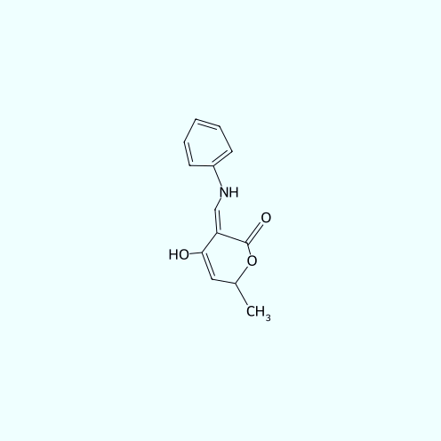 CC1C=C(O)C(=CNc2ccccc2)C(=O)O1